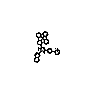 c1ccc(-c2ccc(-c3cc(-c4ccc5c(c4)C4(c6ccccc6-c6ccccc64)c4ccccc4-5)nc(-c4ccc5ccccc5c4)n3)cc2)nc1